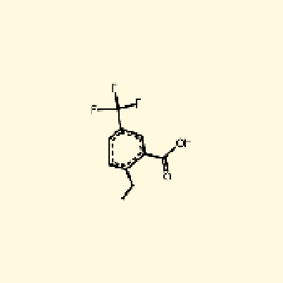 CCc1ccc(C(F)(F)F)cc1C(=O)O